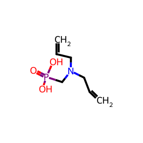 C=CCN(CC=C)CP(=O)(O)O